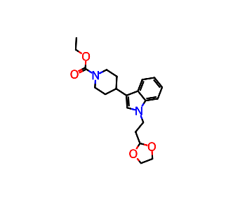 CCOC(=O)N1CCC(c2cn(CCC3OCCO3)c3ccccc23)CC1